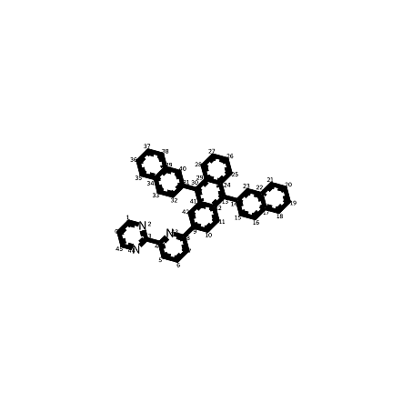 c1cnc(-c2cccc(-c3ccc4c(-c5ccc6ccccc6c5)c5ccccc5c(-c5ccc6ccccc6c5)c4c3)n2)nc1